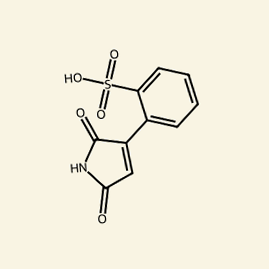 O=C1C=C(c2ccccc2S(=O)(=O)O)C(=O)N1